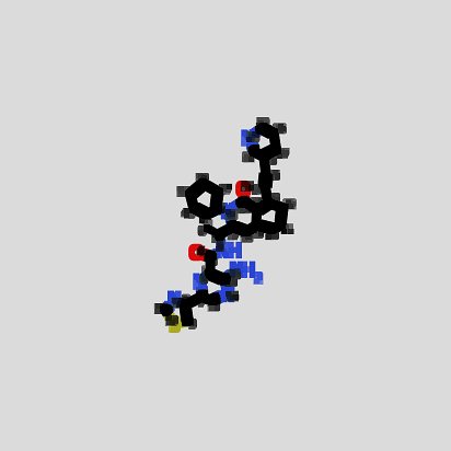 C[C@H](NC(=O)c1nc(-c2cscn2)cnc1N)c1cc2cccc(C#Cc3cccnc3)c2c(=O)n1-c1ccccc1